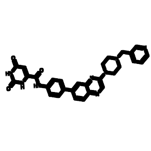 O=C(Nc1ccc(-c2ccc3ncc(N4CCN(Cc5cccnc5)CC4)nc3c2)cc1)c1cc(=O)[nH]c(=O)[nH]1